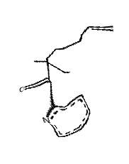 C=CCCC(C)(C)C(=O)c1ccccn1